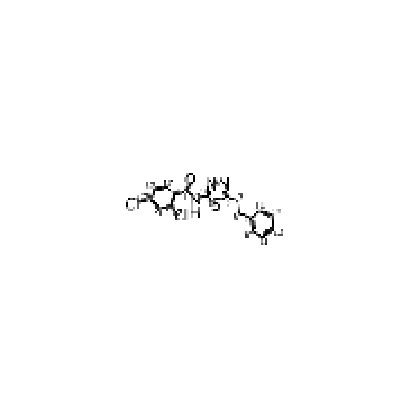 O=C(Nc1nnc(CCc2ccccc2)s1)c1ccc(Cl)cc1Cl